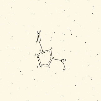 COc1cncc(C#N)c1